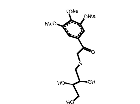 COc1cc(C(=O)CSC[C@@H](O)[C@H](O)CO)cc(OC)c1OC